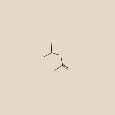 CC(C)OC(=O)Cl.O